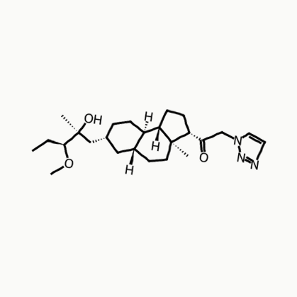 CC[C@H](OC)[C@@](C)(O)C[C@@H]1CC[C@@H]2[C@H](CC[C@]3(C)[C@@H](C(=O)Cn4ccnn4)CC[C@@H]23)C1